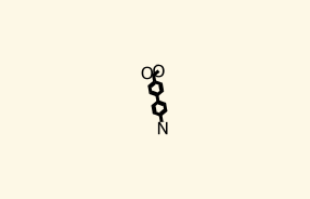 COC(=O)c1ccc(-c2ccc(C#N)cc2)cc1